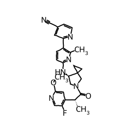 COc1cc([C@@H](C)C(=O)N2C[C@@H](Nc3ccc(-c4cc(C#N)ccn4)c(C)n3)C3(CC3)C2)c(F)cn1